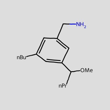 CCCCc1cc(CN)cc(C(CCC)OC)c1